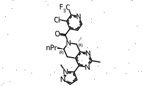 CCC[C@@H]1Cc2c(-c3ccnn3C)nc(C)nc2[C@@H](C)N1C(=O)c1ccnc(C(F)(F)F)c1Cl